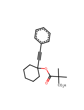 CC(C)(C(=O)O)C(=O)OC1(C#Cc2ccccc2)CCCCC1